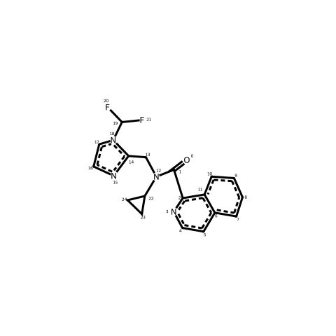 O=C(c1nccc2ccccc12)N(Cc1nccn1C(F)F)C1CC1